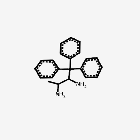 CC(N)C(N)C(c1ccccc1)(c1ccccc1)c1ccccc1